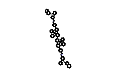 C(=C\c1ccc2c(c1)c1ccccc1n2-c1ccc2ccccc2c1)/c1ccc(-c2ccc3c(c2)C(c2ccccc2)(c2ccccc2)c2cc(-c4ccc5c(c4)C(c4ccccc4)(c4ccccc4)c4cc(-c6ccc(/C=C/c7ccc8c(c7)c7ccccc7n8-c7ccc8ccccc8c7)cc6)ccc4-5)ccc2-3)cc1